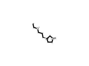 CCOCCC[C@@H]1CCNC1